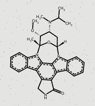 CO[C@@H]1[C@H](N(C)C(C)C)C[C@H]2O[C@]1(C)n1c3ccccc3c3c4c(c5c6ccccc6n2c5c31)C(=O)NC4